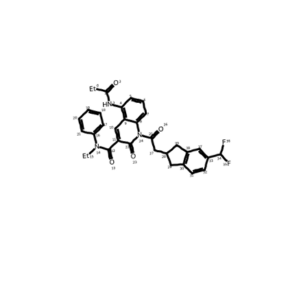 CCC(=O)Nc1cccc2c1cc(C(=O)N(CC)c1ccccc1)c(=O)n2C(=O)CC1Cc2ccc(C(F)F)cc2C1